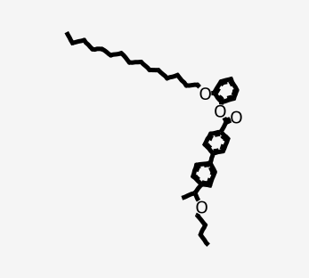 CCCCCCCCCCCCCCCOc1ccccc1OC(=O)c1ccc(-c2ccc(C(C)OCCCC)cc2)cc1